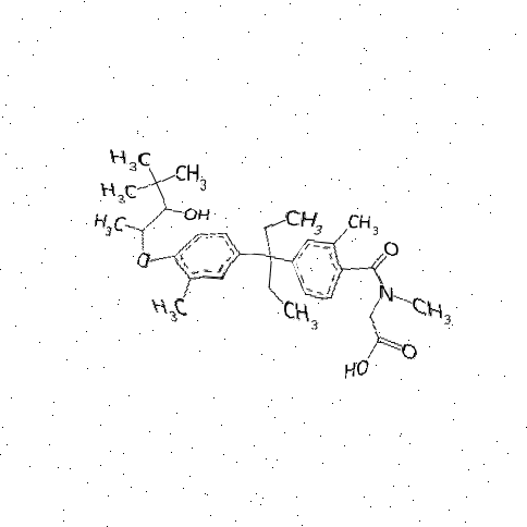 CCC(CC)(c1ccc(OC(C)C(O)C(C)(C)C)c(C)c1)c1ccc(C(=O)N(C)CC(=O)O)c(C)c1